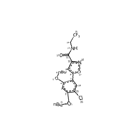 CCCCOc1cc(OCCCC)c(-c2cc(C(=O)NCC(F)(F)F)no2)cc1Cl